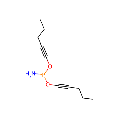 CCCC#COP(N)OC#CCCC